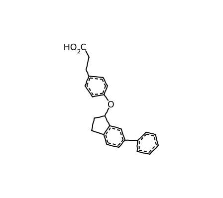 O=C(O)CCc1ccc(OC2CCc3ccc(-c4ccccc4)cc32)cc1